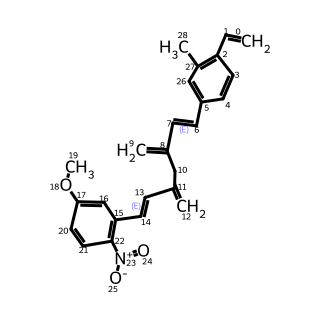 C=Cc1ccc(/C=C/C(=C)CC(=C)/C=C/c2cc(OC)ccc2[N+](=O)[O-])cc1C